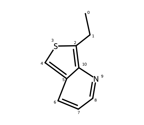 CCc1scc2cccnc12